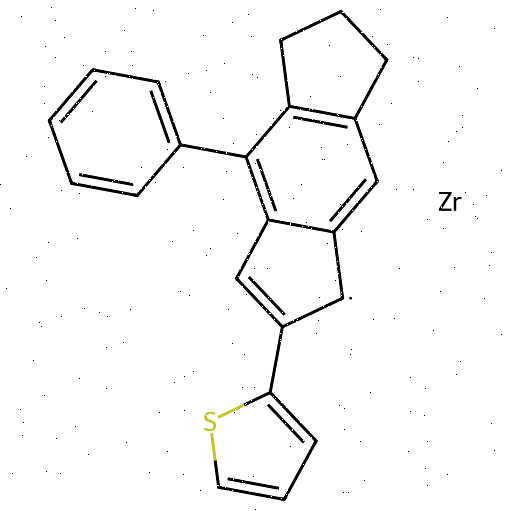 [CH]1C(c2cccs2)=Cc2c1cc1c(c2-c2ccccc2)CCC1.[Zr]